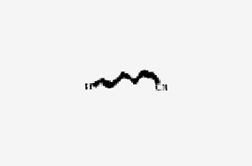 CC/C=C/CC/C=C\C#N